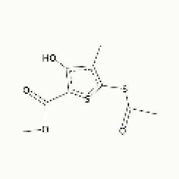 COC(=O)c1sc(SC(C)=O)c(C)c1O